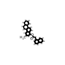 Cc1cc(OC(=O)Cc2cccc3ccccc23)c2ccc3c(c2c1)CCC1=C3C=CCC1